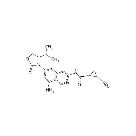 CC(C)C1COC(=O)N1c1cc(N)c2cnc(NC(=O)[C@H]3C[C@@H]3C#N)cc2c1